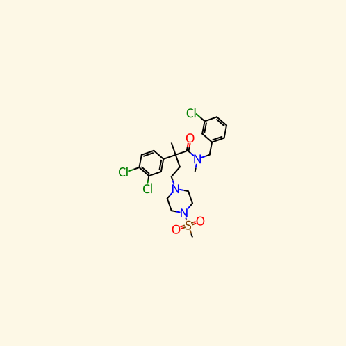 CN(Cc1cccc(Cl)c1)C(=O)C(C)(CCN1CCN(S(C)(=O)=O)CC1)c1ccc(Cl)c(Cl)c1